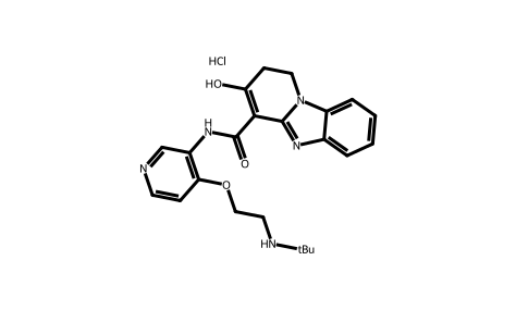 CC(C)(C)NCCOc1ccncc1NC(=O)C1=C(O)CCn2c1nc1ccccc12.Cl